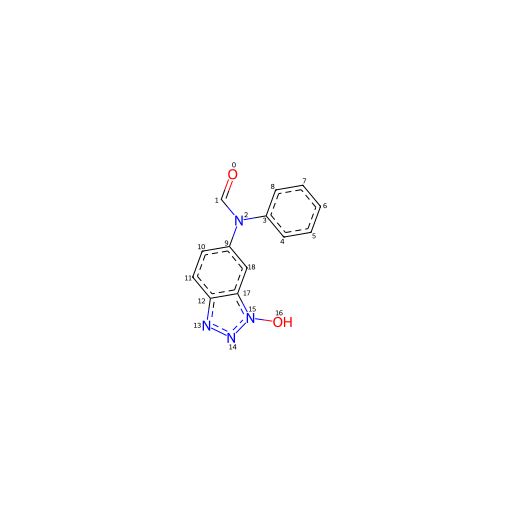 O=CN(c1ccccc1)c1ccc2nnn(O)c2c1